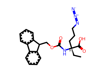 CC[C@](CCCN=[N+]=[N-])(NC(=O)OCC1c2ccccc2-c2ccccc21)C(=O)O